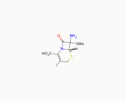 CSC1(N)C(=O)N2C(C(=O)O)=C(C)CS[C@H]21